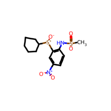 CS(=O)(=O)Nc1ccc([N+](=O)[O-])cc1[S+]([O-])C1CCCCC1